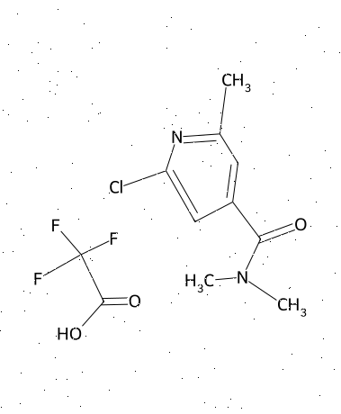 Cc1cc(C(=O)N(C)C)cc(Cl)n1.O=C(O)C(F)(F)F